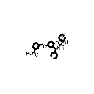 C/C=C\C(=C/C)[C@H](NC(=O)O[C@H]1CN2CCC1CC2)c1cccc(OCc2cccc(C(=O)O)c2)c1